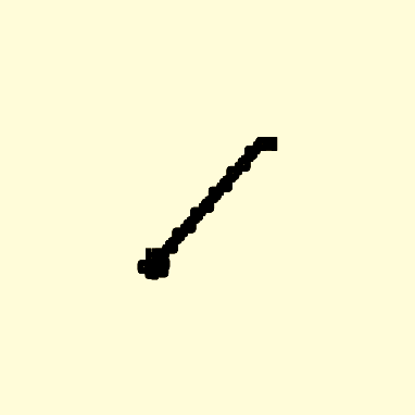 O=C(CN1C(=O)C=CC1=O)NCCOCCOCCOCCOCCOCCOCCOCCOCCOCCOCCO